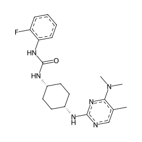 Cc1cnc(N[C@H]2CC[C@@H](NC(=O)Nc3ccccc3F)CC2)nc1N(C)C